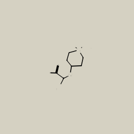 CC(NC1CC[Si](C)(C)CC1)C(=O)O